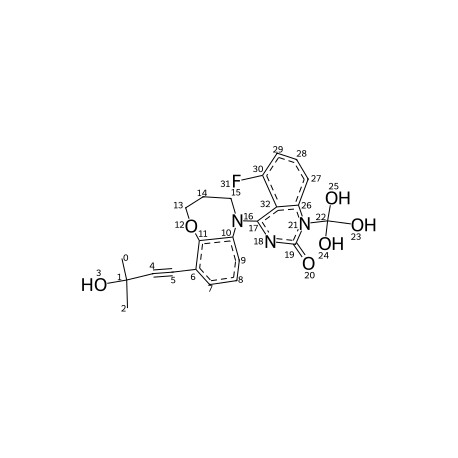 CC(C)(O)C#Cc1cccc2c1OCCCN2c1nc(=O)n(C(O)(O)O)c2cccc(F)c12